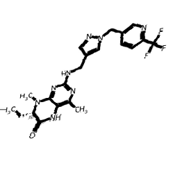 CC[C@H]1C(=O)Nc2c(C)nc(NCc3cnn(Cc4ccc(C(F)(F)F)nc4)c3)nc2N1C